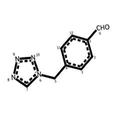 O=Cc1ccc(Cn2cnnn2)cc1